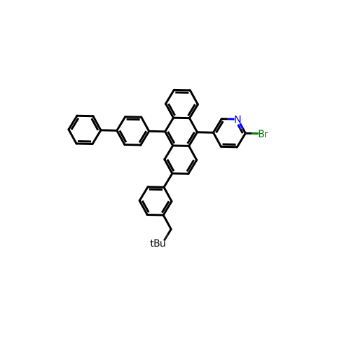 CC(C)(C)Cc1cccc(-c2ccc3c(-c4ccc(Br)nc4)c4ccccc4c(-c4ccc(-c5ccccc5)cc4)c3c2)c1